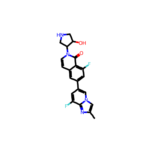 Cc1cn2cc(-c3cc(F)c4c(=O)n(C5CNCC5O)ccc4c3)cc(F)c2n1